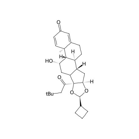 CC(C)(C)CC(=O)[C@@]12O[C@H](C3CCC3)O[C@@H]1C[C@@H]1C2C[C@H](O)[C@H]2[C@H]1CCC1=CC(=O)C=C[C@@]12C